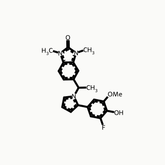 COc1cc(-c2cccn2C(C)c2ccc3c(c2)n(C)c(=O)n3C)cc(F)c1O